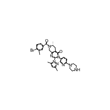 Cc1cc(C)n(-c2nc3c(c(=O)n2-c2ccc(N4CCNCC4)nc2)C[C@@H](C)N(C(=O)c2ccc(Br)c(C)c2)C3)n1